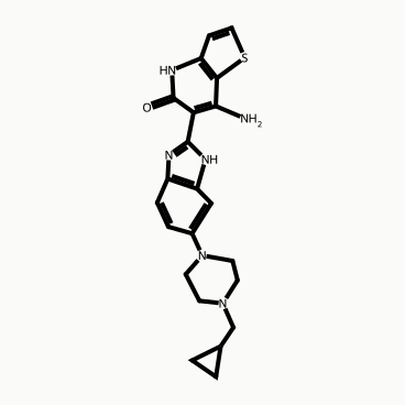 Nc1c(-c2nc3ccc(N4CCN(CC5CC5)CC4)cc3[nH]2)c(=O)[nH]c2ccsc12